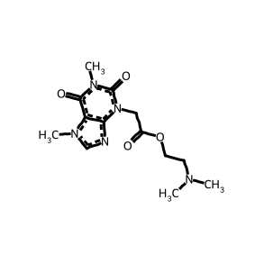 CN(C)CCOC(=O)Cn1c(=O)n(C)c(=O)c2c1ncn2C